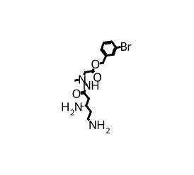 CN(CC(=O)OCc1cccc(Br)c1)NC(=O)C[C@@H](N)CCN